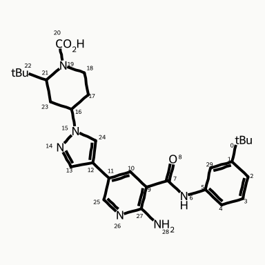 CC(C)(C)c1cccc(NC(=O)c2cc(-c3cnn(C4CCN(C(=O)O)C(C(C)(C)C)C4)c3)cnc2N)c1